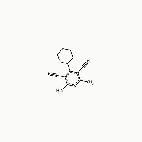 Cc1nc(N)c(C#N)c(C2CCCCO2)c1C#N